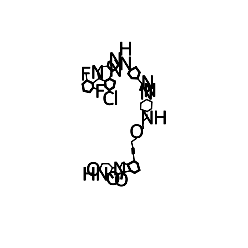 O=C1CCC(N2Cc3c(C#CCCOCCN[C@H]4CC[C@@H](n5cc(-c6ccc(Nc7ncc8c(n7)-c7ccc(Cl)cc7C(c7c(F)cccc7F)=NC8)cc6)nn5)CC4)cccc3C2=O)C(=O)N1